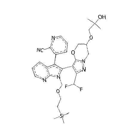 CC(C)(O)COC1COc2c(-c3c(-c4cccnc4C#N)c4cccnc4n3COCC[Si](C)(C)C)c(C(F)F)nn2C1